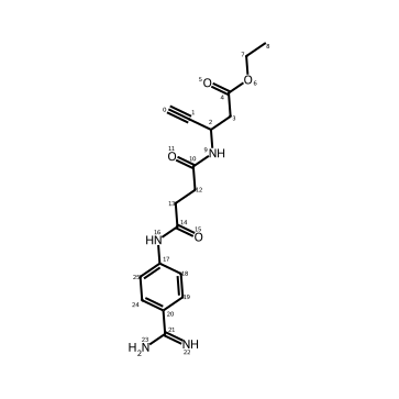 C#CC(CC(=O)OCC)NC(=O)CCC(=O)Nc1ccc(C(=N)N)cc1